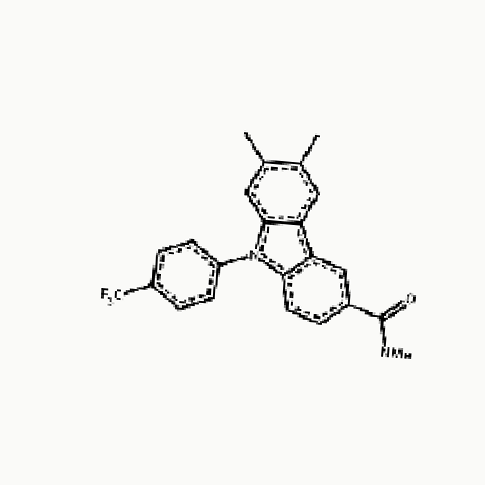 CNC(=O)c1ccc2c(c1)c1cc(C)c(C)cc1n2-c1ccc(C(F)(F)F)cc1